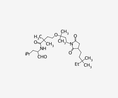 CCC(C)(C)CCC1CC(=O)N(CCC(C)(C)OCCC(C)(C)C(=O)NC(C=O)CC(C)C)C1=O